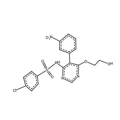 O=[N+]([O-])c1cccc(-c2c(NS(=O)(=O)c3ccc(Cl)cc3)ncnc2OCCO)c1